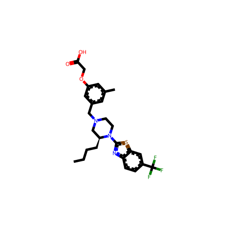 CCCC[C@H]1CN(Cc2cc(C)cc(OCC(=O)O)c2)CCN1c1nc2ccc(C(F)(F)F)cc2s1